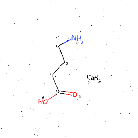 NCCCC(=O)O.[CaH2]